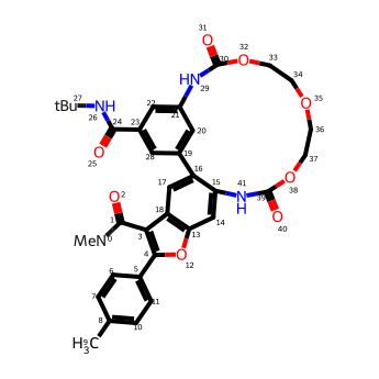 CNC(=O)c1c(-c2ccc(C)cc2)oc2cc3c(cc12)-c1cc(cc(C(=O)NC(C)(C)C)c1)NC(=O)OCCOCCOC(=O)N3